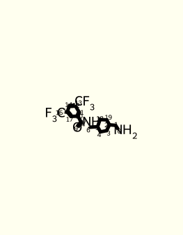 NCC1CCC(CNC(=O)c2cc(C(F)(F)F)cc(C(F)(F)F)c2)CC1